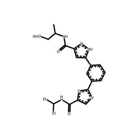 CCC(CC)NC(=O)c1cnc(-c2cccc(-c3cc(C(=O)NC(C)COC)n[nH]3)c2)o1